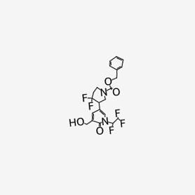 O=C(OCc1ccccc1)N1CCC(F)(F)C(c2cc(CO)c(=O)n(C(F)C(F)F)c2)C1